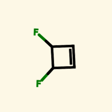 FC1C=CC1F